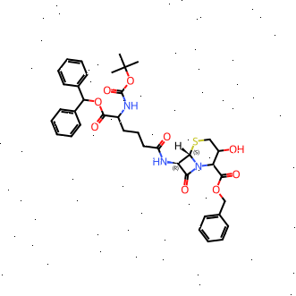 CC(C)(C)OC(=O)NC(CCCC(=O)N[C@@H]1C(=O)N2C(C(=O)OCc3ccccc3)C(O)CS[C@@H]12)C(=O)OC(c1ccccc1)c1ccccc1